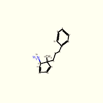 CC1(CCCc2ccccc2)C=CC=[C]C1N